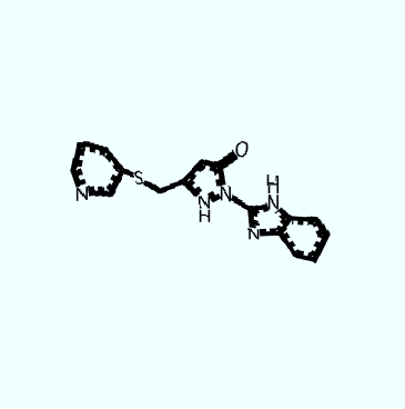 O=c1cc(CSc2cccnc2)[nH]n1-c1nc2ccccc2[nH]1